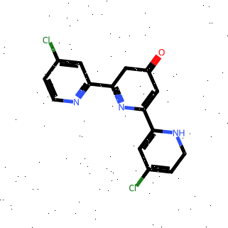 O=C1C=C(C2=CC(Cl)=CCN2)N=C(c2cc(Cl)ccn2)C1